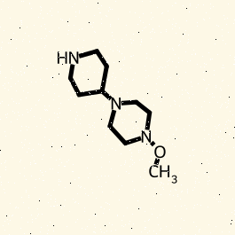 CON1CCN(C2CCNCC2)CC1